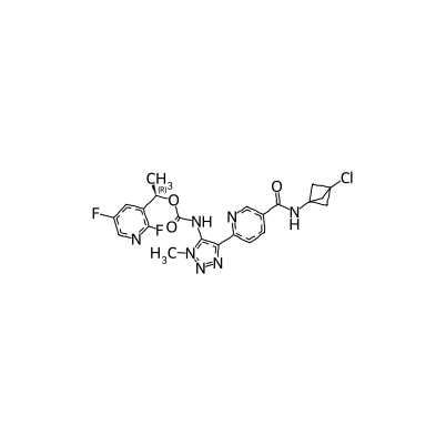 C[C@@H](OC(=O)Nc1c(-c2ccc(C(=O)NC34CC(Cl)(C3)C4)cn2)nnn1C)c1cc(F)cnc1F